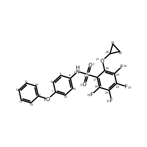 O=S(=O)(Nc1ccc(Oc2ccccc2)cc1)c1c(F)c(F)c(F)c(F)c1OC1CC1